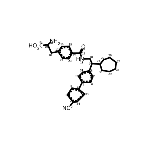 N#Cc1ccc(-c2ccc(C(CNC(=O)c3ccc(CC(N)C(=O)O)cc3)C3CCCCCC3)cc2)cc1